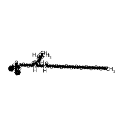 COCCOCCOCCOCCOCCOCCOCCOCCOCCOCCOCCOCCC(=O)NCCCCC(NC(=O)CCOCCOCCN1C(=O)C(Sc2ccccc2)=C(Sc2ccccc2)C1=O)C(=O)NCCC(=O)OC(C)(C)C